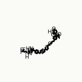 Cn1c(=O)n(C2CCC(=O)NC2=O)c2ccc(CCCOCCN3CCC(N4CCN(Cc5ccc(-c6c[nH]c7nc(NCCC(F)(F)F)ncc67)cc5)CC4)C3)cc21